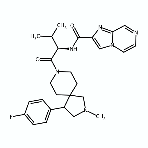 CC(C)[C@@H](NC(=O)c1cn2ccncc2n1)C(=O)N1CCC2(CC1)CN(C)CC2c1ccc(F)cc1